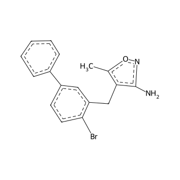 Cc1onc(N)c1Cc1cc(-c2ccccc2)ccc1Br